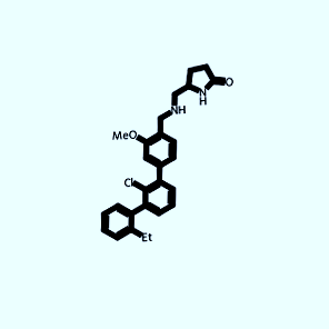 CCc1ccccc1-c1cccc(-c2ccc(CNCC3CCC(=O)N3)c(OC)c2)c1Cl